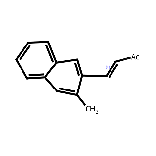 CC(=O)/C=C/c1cc2ccccc2cc1C